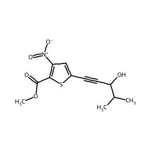 COC(=O)c1sc(C#CC(O)C(C)C)cc1[N+](=O)[O-]